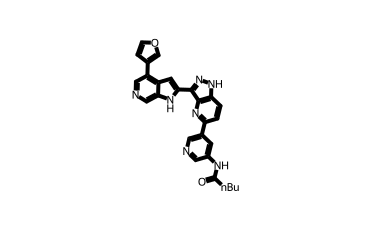 CCCCC(=O)Nc1cncc(-c2ccc3[nH]nc(-c4cc5c(-c6ccoc6)cncc5[nH]4)c3n2)c1